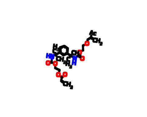 C=CC(=O)OCCOC(=O)NC(C)(C)c1cccc(C(C)(C)NC(=O)OCCOCC(=C)C(C)=O)c1